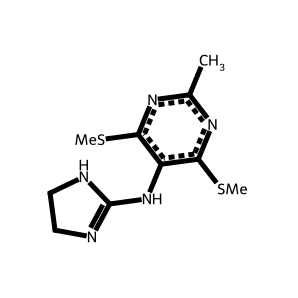 CSc1nc(C)nc(SC)c1NC1=NCCN1